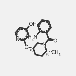 C[C@@H]1CC[C@@H](Oc2cc(O)ccn2)CN1C(=O)c1ccccc1N